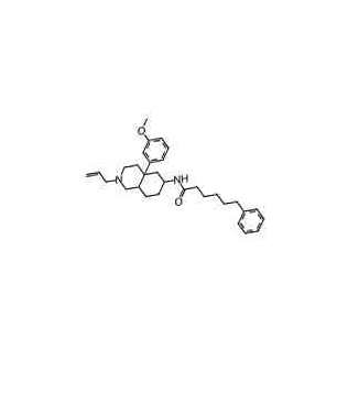 C=CCN1CCC2(c3cccc(OC)c3)CC(NC(=O)CCCCCc3ccccc3)CCC2C1